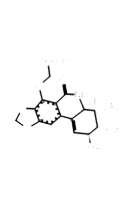 CCOC(=O)COc1c2c(cc3c1C(=O)N[C@@H]1C3=C[C@H](OC(C)=O)[C@@H](OC(C)=O)[C@H]1OC(C)=O)OCO2